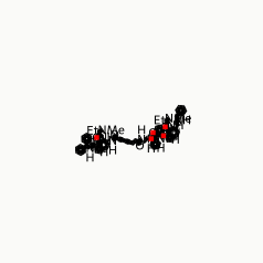 CC[C@H](NC)C(=O)N[C@@H]1C(=O)N2[C@@H](CC[C@@H]1CNC(=O)C#CC#CCCC(=O)NCCNC(=O)C(NC(=O)[C@@H]1CC[C@@H]3CC[C@H](CCNCc4ccccc4)[C@H](NC(=O)[C@H](CC)NC)C(=O)N31)(c1ccccc1)c1ccccc1)CC[C@H]2C(=O)NC(c1ccccc1)c1ccccc1